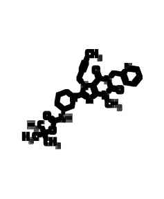 CC#CCn1c(N2CCC[C@@H](NC(=O)OC(C)(C)C)C2)nc2c1c(=O)n(Cc1ccccn1)c(=O)n2C